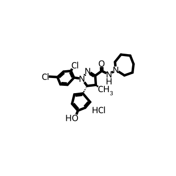 C[C@@H]1C(C(=O)NN2CCCCCC2)=NN(c2ccc(Cl)cc2Cl)[C@H]1c1ccc(O)cc1.Cl